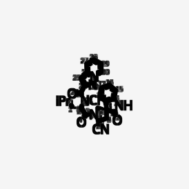 CC(C)C[C@@H](C(=O)N1C[C@]2(C[C@H]1C#N)C(=O)Nc1ccccc12)N(C)C(=O)c1cc2ccccn2n1